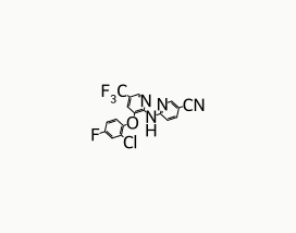 N#Cc1ccc(Nc2ncc(C(F)(F)F)cc2Oc2ccc(F)cc2Cl)nc1